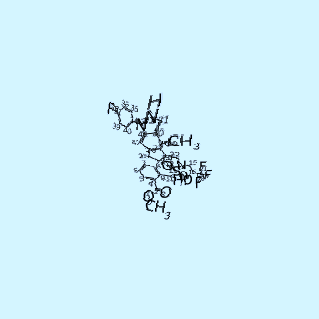 COC(=O)c1ccccc1CS(=O)(=O)N(CC(O)C(F)(F)F)C[C@H]1CCC2=C1[C@@H](C)C1=CNN(c3ccc(F)cc3)C1=C2